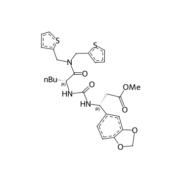 CCCC[C@@H](NC(=O)N[C@H](CC(=O)OC)c1ccc2c(c1)OCO2)C(=O)N(Cc1cccs1)Cc1cccs1